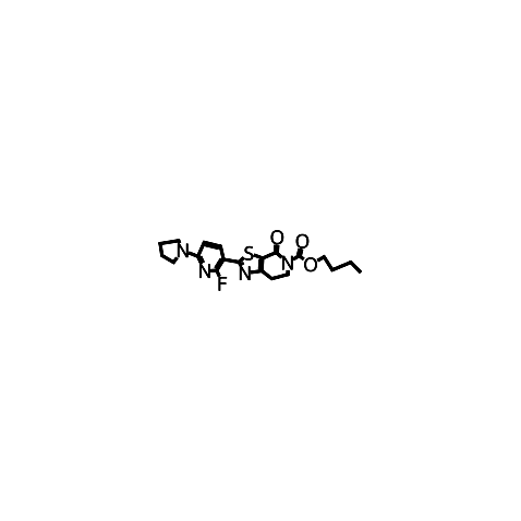 CCCCOC(=O)N1CCc2nc(-c3ccc(N4CCCC4)nc3F)sc2C1=O